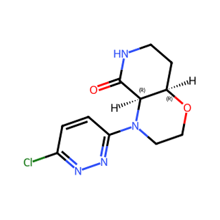 O=C1NCC[C@H]2OCCN(c3ccc(Cl)nn3)[C@@H]12